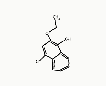 CCOc1cc(Cl)c2ccccc2c1O